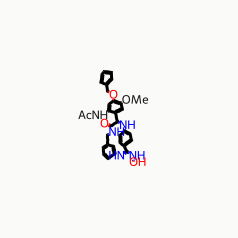 COc1cc(C(Nc2ccc(C(=N)NO)cc2)C(=O)NCc2ccccc2)c(NC(C)=O)cc1OCc1ccccc1